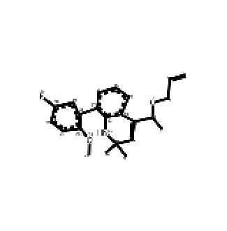 C=CCOC(C)C1=CC(C)(C)Nc2c1cccc2-c1cc(F)ccc1OC